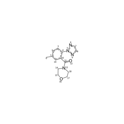 Cc1ccc(-n2nccn2)c(C(=O)N2CCOCC2)c1